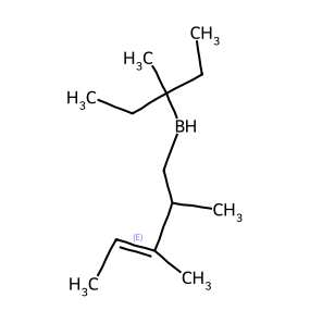 C/C=C(\C)C(C)CBC(C)(CC)CC